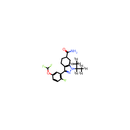 [2H]C([2H])([2H])C([2H])(n1nc(-c2cc(OC(F)F)ccc2F)c2c1CC(C(N)=O)CC2)C([2H])([2H])[2H]